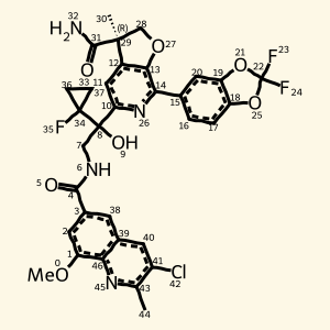 COc1cc(C(=O)NCC(O)(c2cc3c(c(-c4ccc5c(c4)OC(F)(F)O5)n2)OC[C@]3(C)C(N)=O)C2(F)CC2)cc2cc(Cl)c(C)nc12